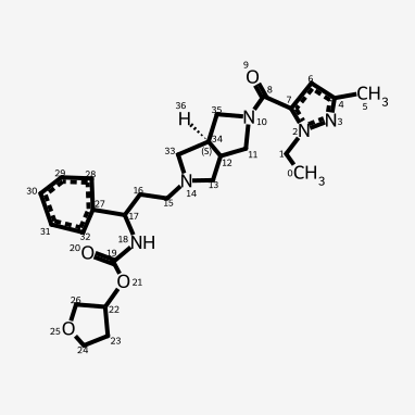 CCn1nc(C)cc1C(=O)N1CC2CN(CCC(NC(=O)OC3CCOC3)c3ccccc3)C[C@H]2C1